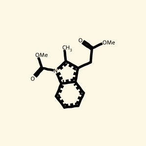 COC(=O)Cc1c(C)n(C(=O)OC)c2ccccc12